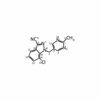 Cc1ncc(Cn2nc(C#N)c3cccc(Cl)c32)cn1